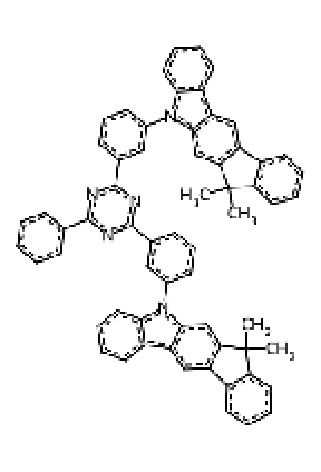 CC1(C)c2ccccc2-c2cc3c4ccccc4n(-c4cccc(-c5nc(-c6ccccc6)nc(-c6cccc(-n7c8ccccc8c8cc9c(cc87)C(C)(C)c7ccccc7-9)c6)n5)c4)c3cc21